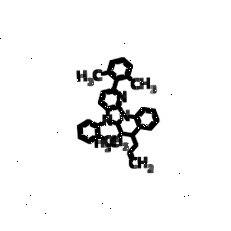 C=CCC1c2ccccc2N2c3nc(-c4c(C)cccc4C)ccc3N(c3ccccc3C)C2C1C